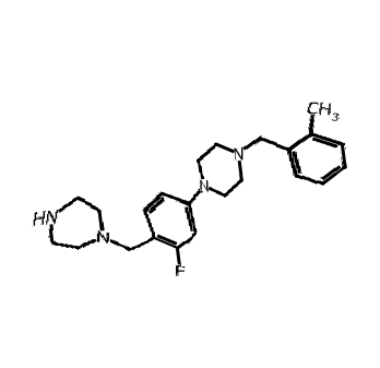 Cc1ccccc1CN1CCN(c2ccc(CN3CCNCC3)c(F)c2)CC1